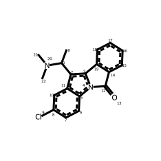 CC(c1c2n(c3ccc(Cl)cc13)C(=O)c1ccccc1-2)N(C)C